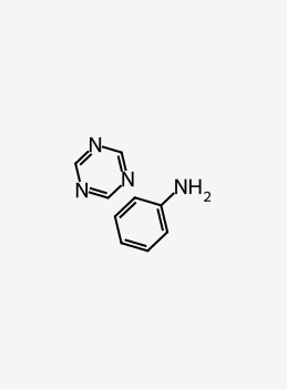 Nc1ccccc1.c1ncncn1